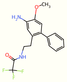 COc1cc(-c2ccccc2)c(CCNC(=O)C(F)(F)F)cc1N